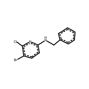 Clc1nc(NCc2ccccc2)ccc1Br